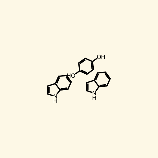 Oc1ccc(O)cc1.c1ccc2[nH]ccc2c1.c1ccc2[nH]ccc2c1